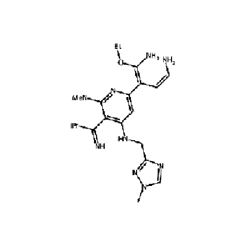 CCO/C(N)=C(/C=C\N)c1cc(NCc2ncn(C)n2)c(C(=N)C(C)C)c(NC)n1